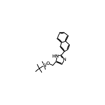 CC(C)(C)[Si](C)(C)OCc1cnc(-c2ccc3ccccc3c2)[nH]1